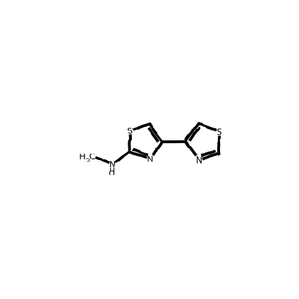 CNc1nc(-c2cscn2)cs1